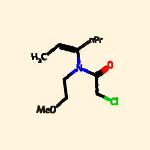 CC=C(CCC)N(CCOC)C(=O)CCl